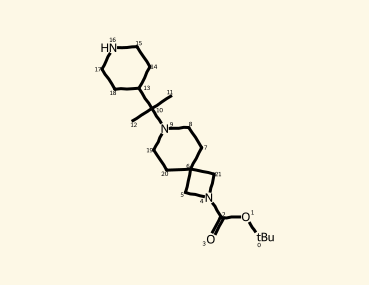 CC(C)(C)OC(=O)N1CC2(CCN(C(C)(C)C3CCNCC3)CC2)C1